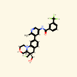 Cc1ncc(NC(=O)c2cccc(C(F)(F)F)c2)cc1-c1ccc2c(c1)N1CCOC[C@@H]1[C@@](CO)(CF)C2